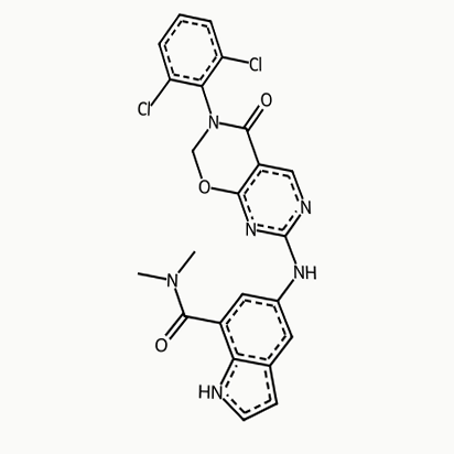 CN(C)C(=O)c1cc(Nc2ncc3c(n2)OCN(c2c(Cl)cccc2Cl)C3=O)cc2cc[nH]c12